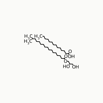 CC(C)CCCCCCCCCCCCCCC(=O)OCC(O)CO.CCCCCCCCCCCCCC(=O)O